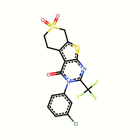 O=c1c2c3c(sc2nc(C(F)(F)F)n1-c1cccc(Cl)c1)CS(=O)(=O)CC3